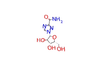 NC(=O)c1ncn([C@@H]2O[C@H](CO)[C@H](O)[C@H]2O)n1